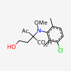 CON(c1c(C)ccc(Cl)c1C)C(CCO)(C(C)=O)C(=O)O